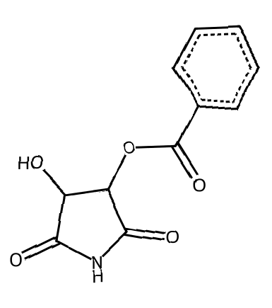 O=C(OC1C(=O)NC(=O)C1O)c1ccccc1